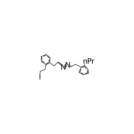 CCCc1ccccc1C/C=N/N=C/Cc1ccccc1CCI